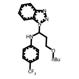 CCCCOCCC(Nc1ccc(C(F)(F)F)cc1)n1nnc2ccccc21